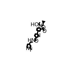 COC(=O)c1cc(-c2ccc(C(=O)NCCc3ccnc(F)c3)cn2)ccc1N(CC1CC1)C(C)O